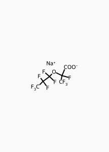 O=C([O-])C(F)(OC(F)(F)C(F)(F)C(F)(F)F)C(F)(F)F.[Na+]